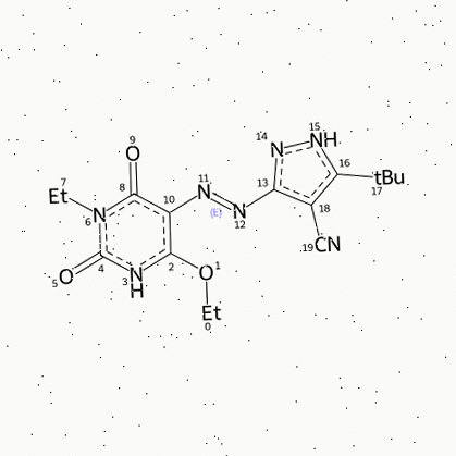 CCOc1[nH]c(=O)n(CC)c(=O)c1/N=N/c1n[nH]c(C(C)(C)C)c1C#N